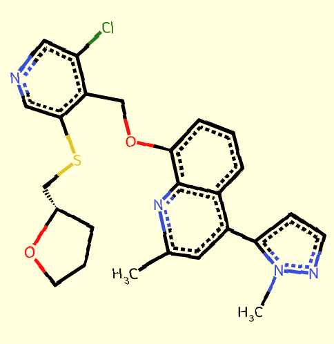 Cc1cc(-c2ccnn2C)c2cccc(OCc3c(Cl)cncc3SC[C@@H]3CCCO3)c2n1